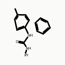 Cc1ccc(NC(=O)NC(C)C)cc1.c1ccccc1